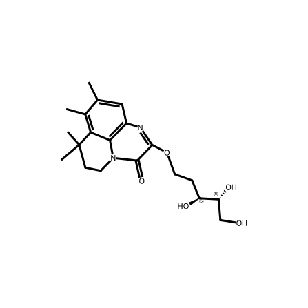 Cc1cc2nc(OCC[C@H](O)[C@H](O)CO)c(=O)n3c2c(c1C)C(C)(C)CC3